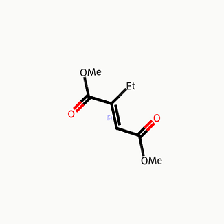 CC/C(=C\C(=O)OC)C(=O)OC